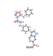 CNC(=O)c1ccc2c(c1)ncn2-c1ccc(CNC(=O)c2nocc2Cc2ccccc2)cc1